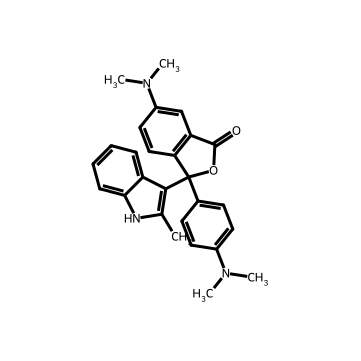 Cc1[nH]c2ccccc2c1C1(c2ccc(N(C)C)cc2)OC(=O)c2cc(N(C)C)ccc21